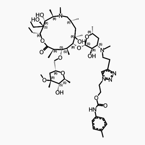 CC[C@H]1OC(=O)[C@H](C)[C@@H](OC[C@H]2C[C@@](C)(OC)[C@@H](O)[C@H](C)O2)[C@H](C)[C@@H](O[C@@H]2O[C@H](C)C[C@H](N(C)CCc3cn(CCOC(=O)Nc4ccc(C)cc4)nn3)[C@H]2O)[C@](C)(O)C[C@@H](C)CN(C)[C@H](C)[C@@H](O)[C@@]1(O)CC